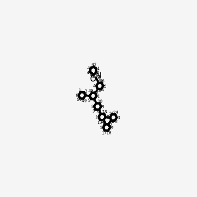 c1ccc(-c2cc(-c3ccc(-c4ccc5c6ccccc6c6ccccc6c5c4)cc3)cc(-c3cccc(-c4nc5ccccc5o4)c3)c2)cc1